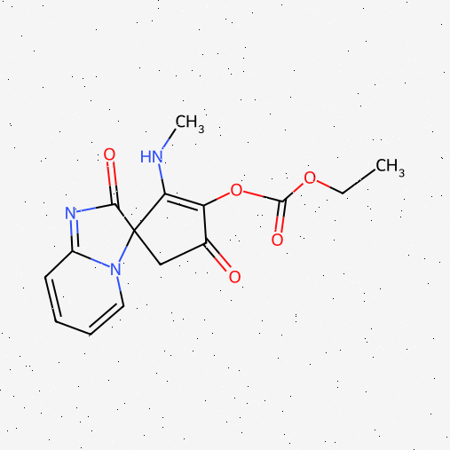 CCOC(=O)OC1=C(NC)C2(CC1=O)C(=O)N=C1C=CC=CN12